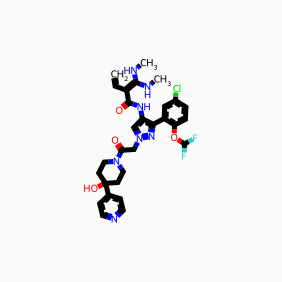 C=CC(C(=O)Nc1cn(CC(=O)N2CCC(O)(c3ccncc3)CC2)nc1-c1cc(Cl)ccc1OC(F)F)=C(NC)NC